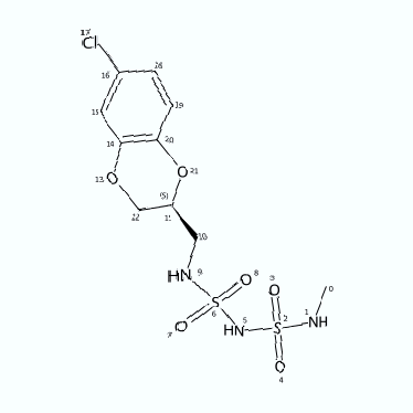 CNS(=O)(=O)NS(=O)(=O)NC[C@H]1COc2cc(Cl)ccc2O1